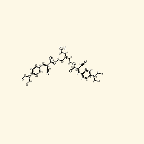 CCN(CC)c1ccc(/C=C(\C#N)C(=O)OCCN(CCO)CCOC(=O)/C(C#N)=C/c2ccc(N(CC)CC)cc2)cc1